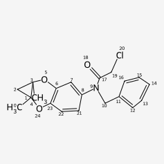 CC12CC1(C)Oc1cc(N(Cc3ccccc3)C(=O)CCl)ccc1O2